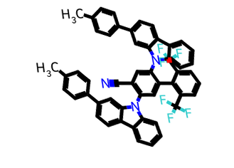 Cc1ccc(-c2ccc3c4ccccc4n(-c4cc(-c5c(C(F)(F)F)cccc5C(F)(F)F)c(-n5c6ccccc6c6ccc(-c7ccc(C)cc7)cc65)cc4C#N)c3c2)cc1